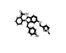 Cn1ccc(COc2ccc3c(c2)C(Cc2ccc(Br)cc2)N(C2CCCCC2C(=O)O)C3)n1